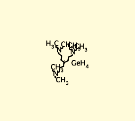 CCN(CC)CCC[C](CCCN(CC)CC)CCCN(CC)CC.[GeH4]